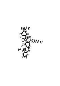 COC(=O)c1cc(Cc2cccnc2)c(N)c(C)c1S(=O)(=O)c1ccc(OC)cc1